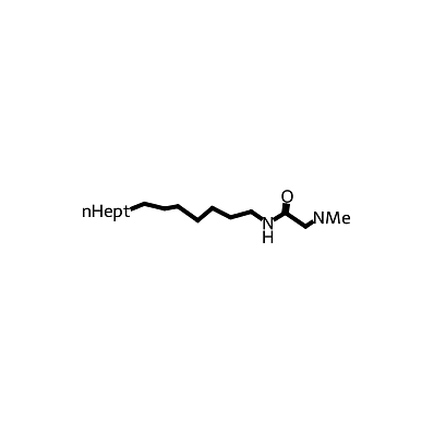 CCCCCCCCCCCCCCNC(=O)CNC